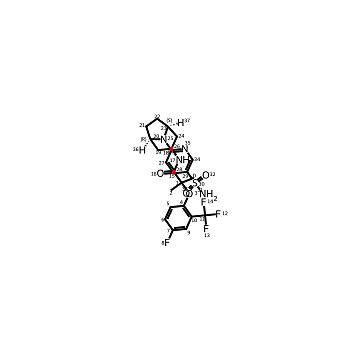 CC(C)(Oc1ccc(F)cc1C(F)(F)F)C(=O)N[C@H]1C[C@H]2CC[C@@H](C1)N2c1ccc(S(N)(=O)=O)cn1